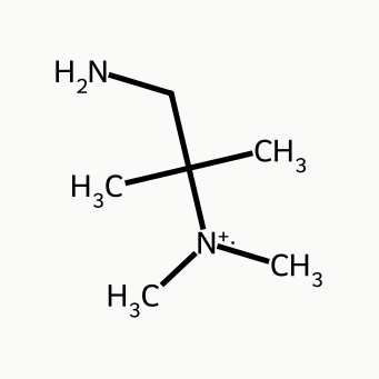 C[N+](C)C(C)(C)CN